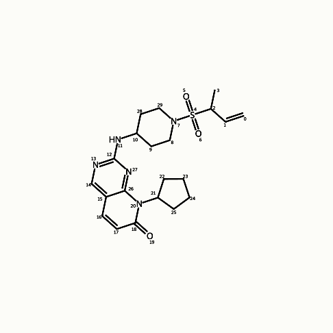 C=CC(C)S(=O)(=O)N1CCC(Nc2ncc3ccc(=O)n(C4CCCC4)c3n2)CC1